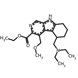 CCOC(=O)c1ncc2[nH]c3c(c2c1COC)C(CN(CC)CC)CCC3